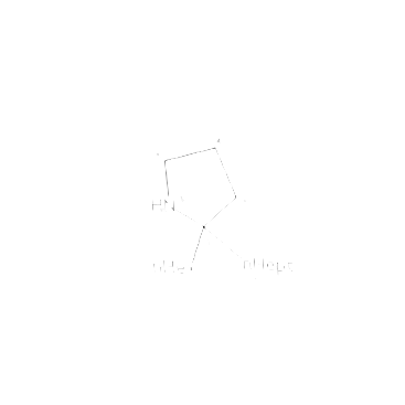 CCCCCCCC1(CCCCCC)CCCN1